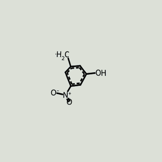 [CH2]c1cc(O)cc([N+](=O)[O-])c1